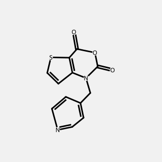 O=c1oc(=O)n(Cc2ccncc2)c2ccsc12